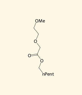 CCCCCCOC(=O)COCCOC